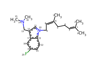 CC(C)=CCCC(C)=CCn1cc(CN(C)C)c2cc(F)ccc21